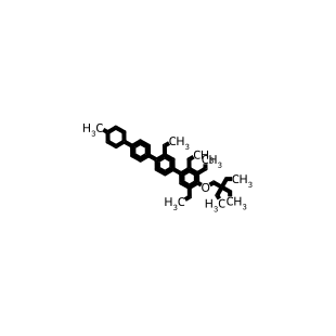 CCc1cc(-c2cc(CC)c(OCC(CC)(CC)CC)c(CC)c2CC)ccc1-c1ccc(C2CCC(C)CC2)cc1